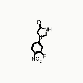 O=C1CN(c2ccc([N+](=O)[O-])c(F)c2)CN1